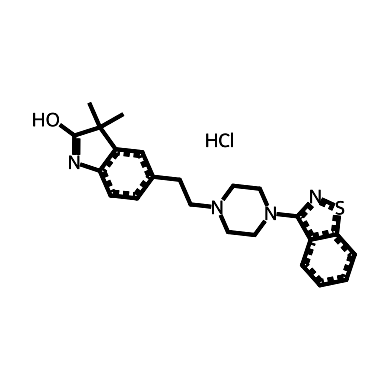 CC1(C)C(O)=Nc2ccc(CCN3CCN(c4nsc5ccccc45)CC3)cc21.Cl